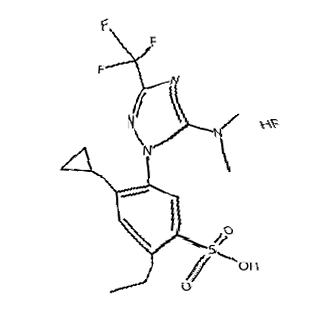 CCc1cc(C2CC2)c(-n2nc(C(F)(F)F)nc2N(C)C)cc1S(=O)(=O)O.F